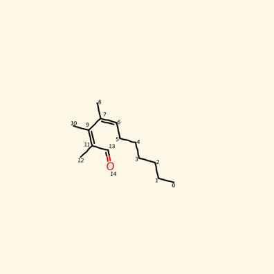 CCCCCCC=C(C)C(C)=C(C)C=O